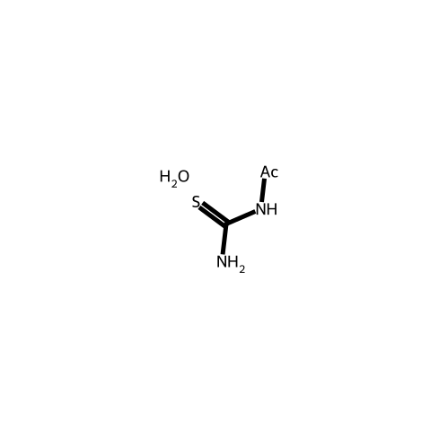 CC(=O)NC(N)=S.O